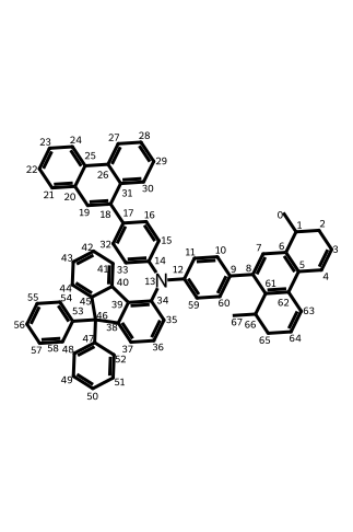 CC1CC=Cc2c1cc(-c1ccc(N(c3ccc(-c4cc5ccccc5c5ccccc45)cc3)c3cccc4c3-c3ccccc3C4(c3ccccc3)c3ccccc3)cc1)c1c2C=CCC1C